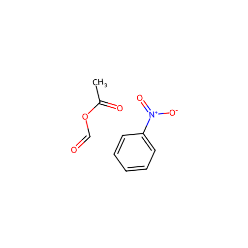 CC(=O)OC=O.O=[N+]([O-])c1ccccc1